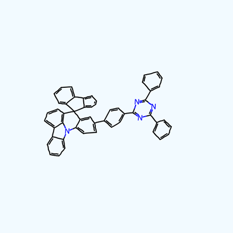 c1ccc(-c2nc(-c3ccccc3)nc(-c3ccc(-c4ccc5c(c4)C4(c6ccccc6-c6ccccc64)c4cccc6c7ccccc7n-5c46)cc3)n2)cc1